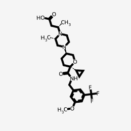 COc1cc(CNC(=O)[C@@]2(C3CC3)CC[C@@H](N3CCN([C@@H](C)CC(=O)O)[C@@H](C)C3)CO2)cc(C(F)(F)F)c1